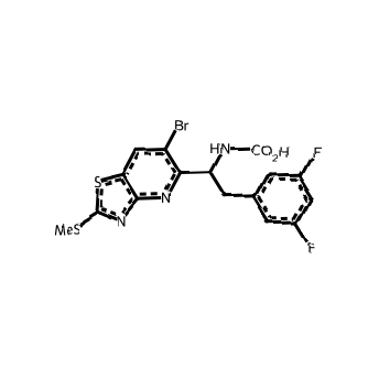 CSc1nc2nc(C(Cc3cc(F)cc(F)c3)NC(=O)O)c(Br)cc2s1